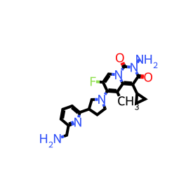 Cc1c(N2CCC(c3cccc(CN)n3)C2)c(F)cn2c(=O)n(N)c(=O)c(C3CC3)c12